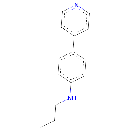 CCCNc1ccc(-c2ccncc2)cc1